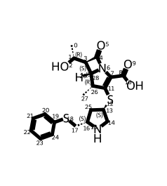 C[C@@H](O)[C@H]1C(=O)N2C(C(=O)O)=C(S[C@@H]3CN[C@H](CSc4ccccc4)C3)[C@H](C)[C@H]12